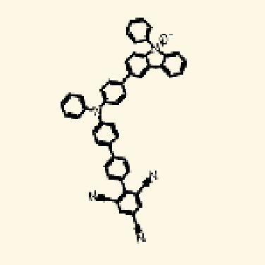 N#Cc1cc(C#N)c(-c2ccc(-c3ccc(N(c4ccccc4)c4ccc(-c5ccc6c(c5)-c5ccccc5[N+]6([O-])c5ccccc5)cc4)cc3)cc2)c(C#N)c1